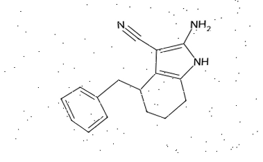 N#Cc1c(N)[nH]c2c1C(Cc1ccccc1)CCC2